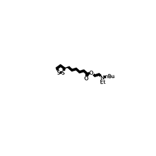 CCCCN(CC)CCOC(=O)CCCCC[C@@H]1CCSS1